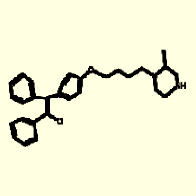 CC1CNCCN1CCCCOc1ccc(C(=C(Cl)c2ccccc2)c2ccccc2)cc1